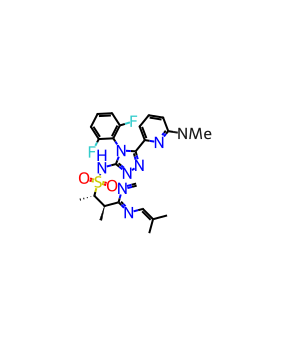 C=N/C(=N\C=C(C)C)[C@@H](C)[C@H](C)S(=O)(=O)Nc1nnc(-c2cccc(NC)n2)n1-c1c(F)cccc1F